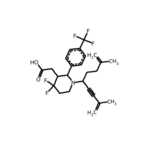 C=C(C)C#CC(CCC(=C)C)N1CCC(F)(F)C(CC(=O)O)C1c1ccc(C(F)(F)F)cc1